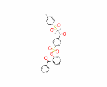 Cc1ccc(S(=O)(=O)C(C)(C)C(=O)c2ccc(S(=O)(=O)Oc3ccccc3C(=O)c3ccccc3)cc2)cc1